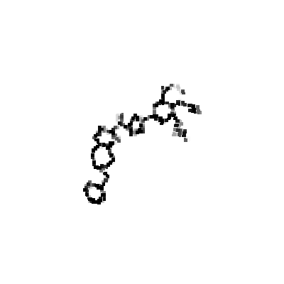 COc1cc(-n2cnc(Nc3ncc4c(n3)CN(Cc3ccccc3)CC4)c2)cc(OC)c1OC